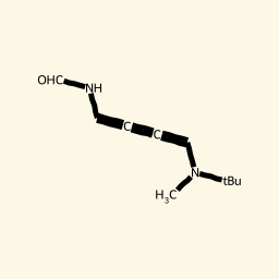 CN(C=C=C=CNC=O)C(C)(C)C